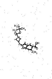 Cc1cc2nn(CC3CN(C(=O)OC(C)(C)C)C3)cc2cc1C(=O)O